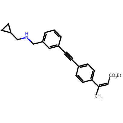 CCOC(=O)/C=C(/C)c1ccc(C#Cc2cccc(CNCC3CC3)c2)cc1